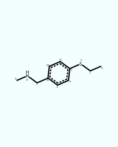 CCSc1ccc(CNC)cc1